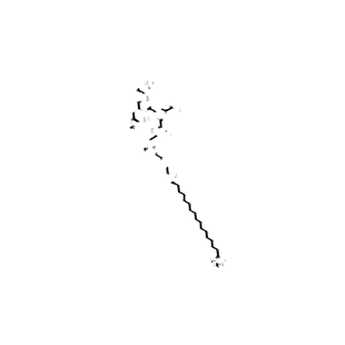 CC(=O)N(CC(=O)N[C@@H](CO)C(=O)N[C@@H](CCC(N)=O)C(=O)N[C@@H](Cc1c[nH]cn1)C(=O)N[C@@H](CO)C(=O)O)OCCOCCNC(=O)CCCCCCCCCCCCCCCc1nnn[nH]1